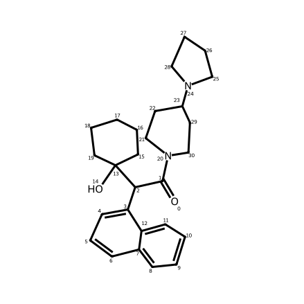 O=C(C(c1cccc2ccccc12)C1(O)CCCCC1)N1CCC(N2CCCC2)CC1